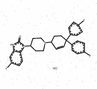 Cl.O=c1[nH]c2cc(F)ccc2n1C1CCN(C2C=CC(c3ccc(F)cc3)(c3ccc(F)cc3)CC2)CC1